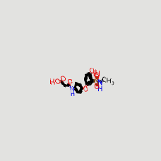 CNS(=O)(=O)c1cc(Oc2ccc(NC(=O)CC(=O)O)cc2)ccc1O